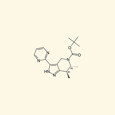 C[C@@H]1[C@@H](C)c2n[nH]c(-c3ncccn3)c2CN1C(=O)OC(C)(C)C